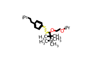 CC(C)CCc1ccc(SSC(OCCOC(C)C)C(C)(C)[Si](C)(C)C)cc1